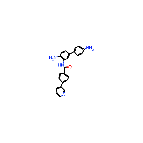 Nc1ccc(-c2ccc(N)c(NC(=O)c3ccc(-c4cccnc4)cc3)c2)cc1